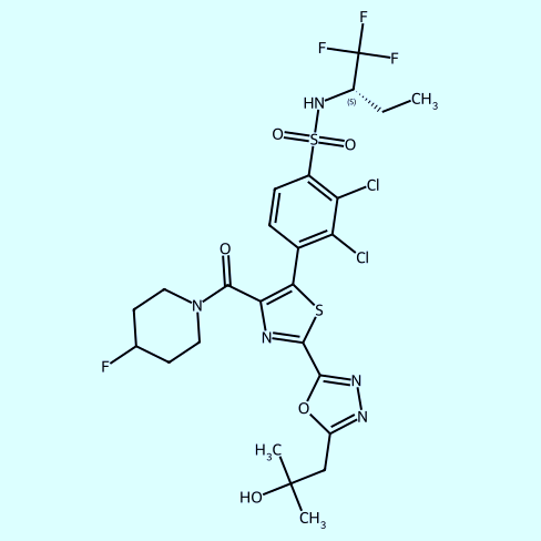 CC[C@H](NS(=O)(=O)c1ccc(-c2sc(-c3nnc(CC(C)(C)O)o3)nc2C(=O)N2CCC(F)CC2)c(Cl)c1Cl)C(F)(F)F